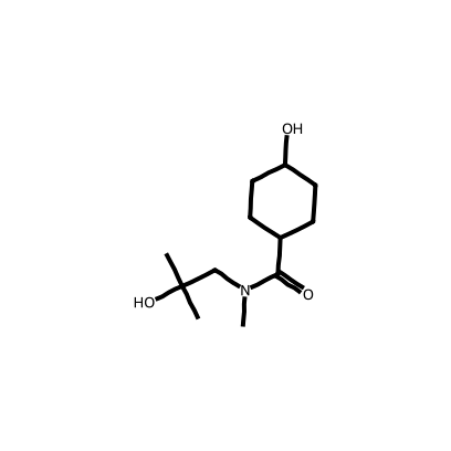 CN(CC(C)(C)O)C(=O)C1CCC(O)CC1